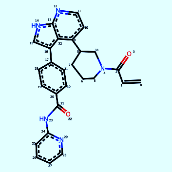 C=CC(=O)N1CCCC(c2ccnc3[nH]cc(-c4ccc(C(=O)Nc5ccccn5)cc4)c23)C1